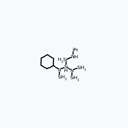 CC(C)N[SiH2][SiH](N([SiH3])[SiH3])N([SiH3])C1CCCCC1